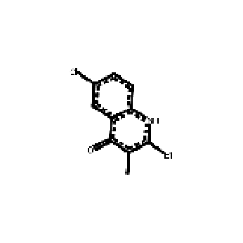 CCc1[nH]c2ccc(Cl)cc2c(=O)c1C